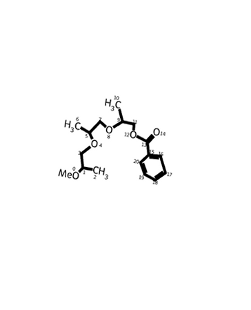 COC(C)COC(C)COC(C)COC(=O)c1ccccc1